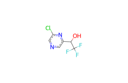 OC(c1cncc(Cl)n1)C(F)(F)F